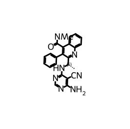 CNC(=O)c1c(-c2ccccc2)c([C@H](C)Nc2ncnc(N)c2C#N)nc2ccccc12